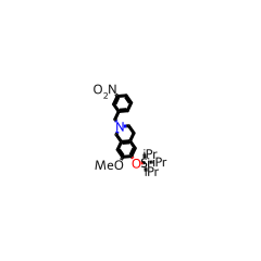 COc1cc2c(cc1O[Si](C(C)C)(C(C)C)C(C)C)CCN(Cc1cccc([N+](=O)[O-])c1)C2